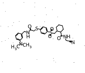 CN(C)c1cccc(CNC(=O)CSc2ccc(S(=O)(=O)CC3CCCCC3C(=O)NCC#N)cc2)c1